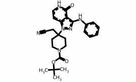 CC(C)(C)OC(=O)N1CCC(CC#N)(n2nc(Nc3ccccc3)c3c(=O)[nH]ccc32)CC1